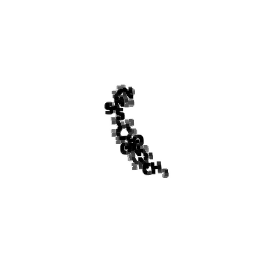 CN1CCN(S(=O)(=O)c2ccc(CSC(=S)n3ccnc3)cc2)CC1